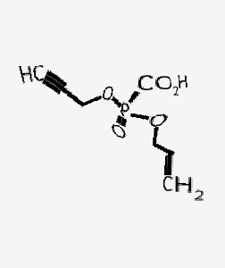 C#CCOP(=O)(OCC=C)C(=O)O